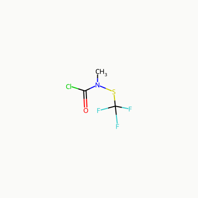 CN(SC(F)(F)F)C(=O)Cl